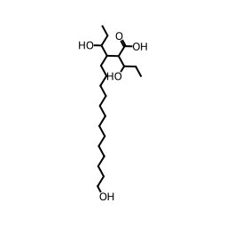 CCC(O)C(CCCCCCCCCCCCCO)C(C(=O)O)C(O)CC